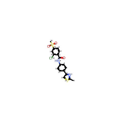 Cc1nc(-c2ccc(NC(=O)c3ccc(S(C)(=O)=O)cc3Cl)cc2)cs1